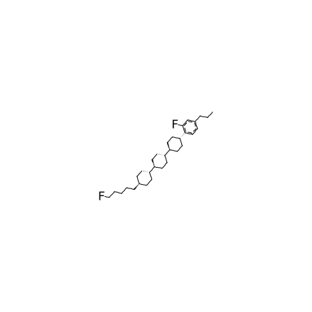 CCCc1ccc([C@H]2CC[C@H]([C@H]3CC[C@H]([C@H]4CC[C@H](CCCCCF)CC4)CC3)CC2)c(F)c1